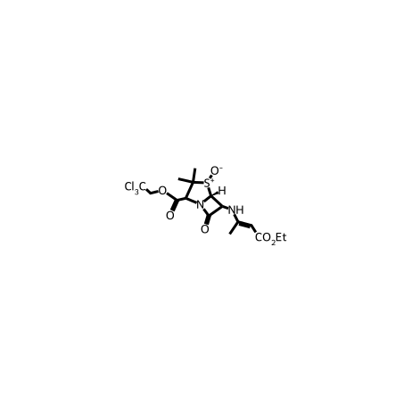 CCOC(=O)/C=C(\C)NC1C(=O)N2C(C(=O)OCC(Cl)(Cl)Cl)C(C)(C)[S+]([O-])[C@H]12